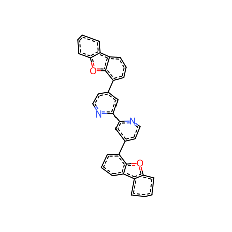 c1ccc2c(c1)oc1c(-c3ccnc(-c4cc(-c5cccc6c5oc5ccccc56)ccn4)c3)cccc12